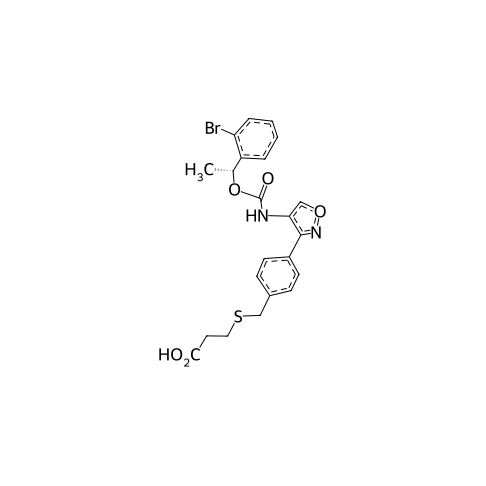 C[C@@H](OC(=O)Nc1conc1-c1ccc(CSCCC(=O)O)cc1)c1ccccc1Br